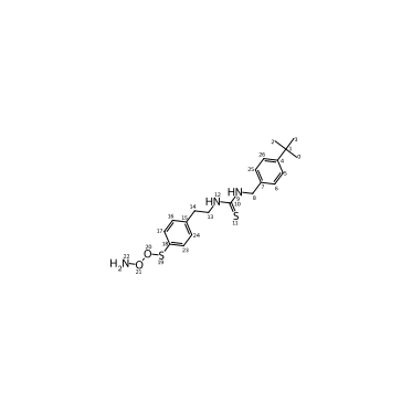 CC(C)(C)c1ccc(CNC(=S)NCCc2ccc(SOON)cc2)cc1